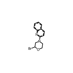 BrC1CN(c2ccc3ccccc3n2)CCO1